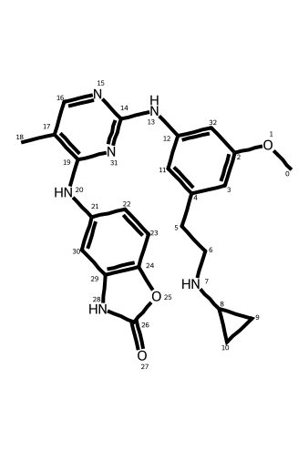 COc1cc(CCNC2CC2)cc(Nc2ncc(C)c(Nc3ccc4oc(=O)[nH]c4c3)n2)c1